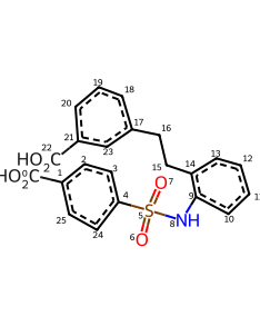 O=C(O)c1ccc(S(=O)(=O)Nc2ccccc2CCc2cccc(C(=O)O)c2)cc1